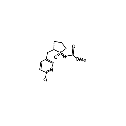 COC(=O)N=S1(=O)CCCC1Cc1ccc(Cl)nc1